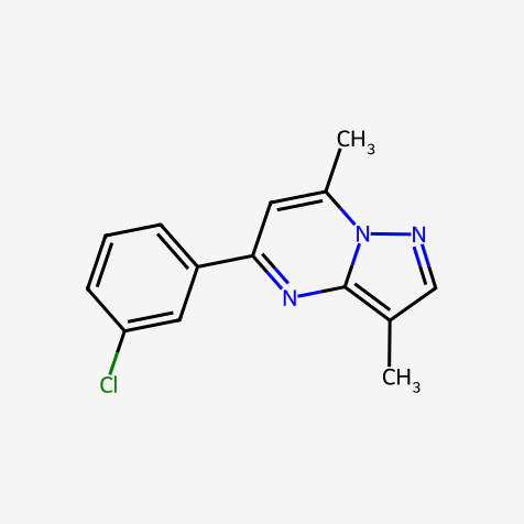 Cc1cnn2c(C)cc(-c3cccc(Cl)c3)nc12